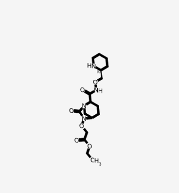 CCOC(=O)CON1C(=O)N2CC1CCC2C(=O)NOC[C@@H]1CCCCN1